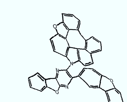 c1cc2c3c(c1)ccc1c3c3c4c(ccc3n1-c1nc3c(nc1-c1ccc5oc6ccccc6c5c1)oc1ccccc13)oc1cccc-2c14